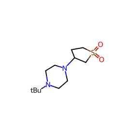 CC(C)(C)N1CCN(C2CCS(=O)(=O)C2)CC1